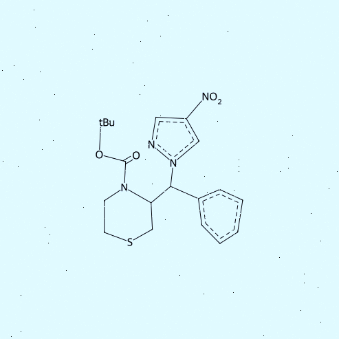 CC(C)(C)OC(=O)N1CCSCC1C(c1ccccc1)n1cc([N+](=O)[O-])cn1